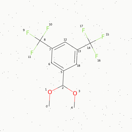 COC(OC)c1cc(C(F)(F)F)cc(C(F)(F)F)c1